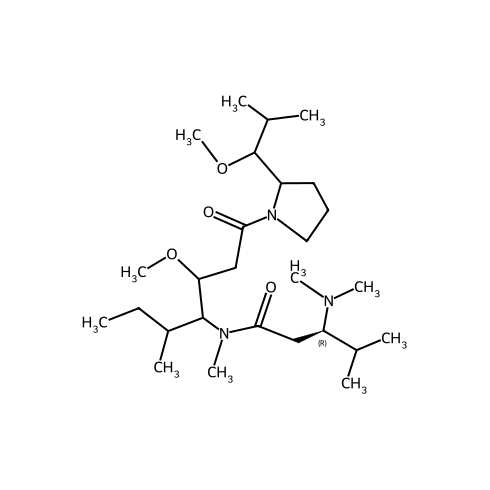 CCC(C)C(C(CC(=O)N1CCCC1C(OC)C(C)C)OC)N(C)C(=O)C[C@H](C(C)C)N(C)C